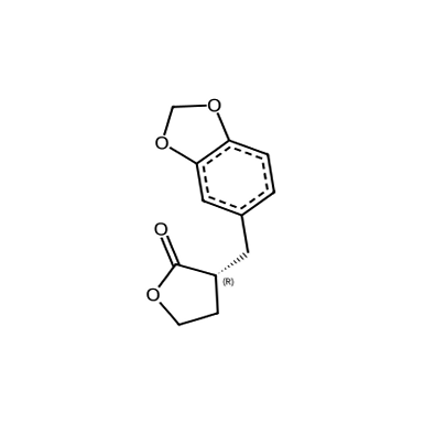 O=C1OCC[C@H]1Cc1ccc2c(c1)OCO2